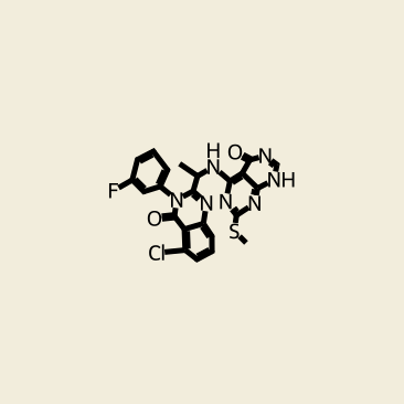 CSc1nc(NC(C)c2nc3cccc(Cl)c3c(=O)n2-c2cccc(F)c2)c2c(=O)nc[nH]c2n1